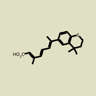 CC(C=CC=C(C)c1ccc2c(c1)C(C)(C)CCS2)=CC(=O)O